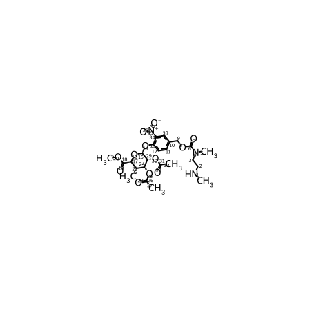 CNCCN(C)C(=O)OCc1ccc(O[C@@H]2O[C@H](C(=O)OC)[C@@H](C)[C@H](OC(C)=O)[C@H]2OC(C)=O)c([N+](=O)[O-])c1